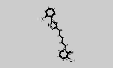 Cc1ccccc1-n1cc(CCCCCn2cccc(O)c2=S)nn1